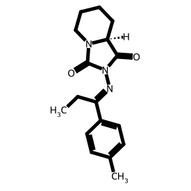 CC/C(=N\N1C(=O)[C@@H]2CCCCN2C1=O)c1ccc(C)cc1